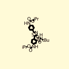 CC(C)OC(=O)Nc1ccc(-c2ncc(-c3ccc(NC(=O)OC(C)C)cc3S(=O)(=O)NC(C)(C)C)s2)cc1